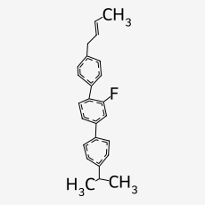 C/C=C/Cc1ccc(-c2ccc(-c3ccc(C(C)C)cc3)cc2F)cc1